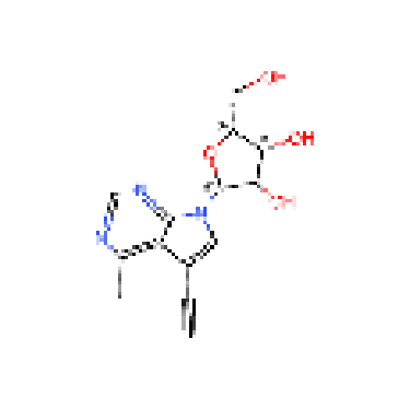 C#Cc1cn([C@@H]2O[C@H](CO)[C@H](O)C2O)c2ncnc(C)c12